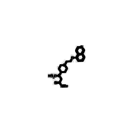 CNC(=O)CN(C(=O)O)C1CCN(CCOc2cccc3cnccc23)CC1